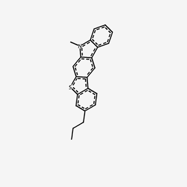 CCCc1ccc2c(c1)sc1cc3c(cc12)c1ccccc1n3C